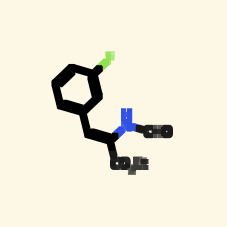 CCOC(=O)/C(=C/c1cccc(F)c1)NC=O